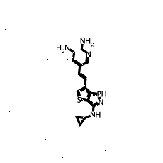 NC/C=C(\C=N/CN)/C=C/c1csc2c(NC3CC3)n[pH]c12